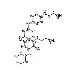 CCCCN1C(=O)[C@H](CC2CCCCC2)NC(=O)C12CCN(Cc1ccc(OCCO)cc1)CC2